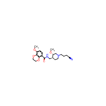 COc1ccc(C(=O)NC[C@@H]2CCN(CCCC#N)C[C@H]2OC)c2c1OCCO2